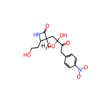 CC1(CC(O)(O)C(=O)Cc2ccc([N+](=O)[O-])cc2)C(=O)NC1CCO